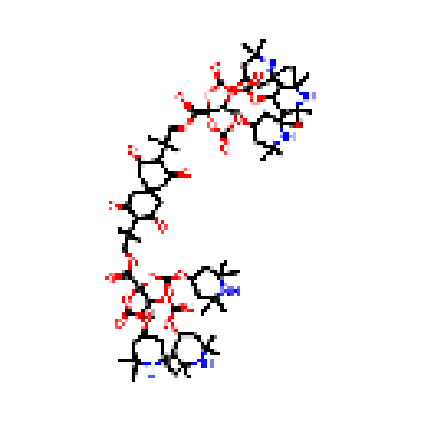 CCC(OC(=O)OC1CC(C)(C)NC(C)(C)C1)C(OC(=O)OC1CC(C)(C)NC(C)(C)C1)(OC(=O)OC1CC(C)(C)NC(C)(C)C1)C(=O)OCC(C)(C)C1C(=O)CC2(CC1=O)CC(=O)C(C(C)(C)COC(=O)C(OC(=O)OC1CC(C)(C)NC(C)(C)C1)(OC(=O)OC1CC(C)(C)NC(C)(C)C1)C(CC)OC(=O)OC1CC(C)(C)NC(C)(C)C1)C(=O)C2